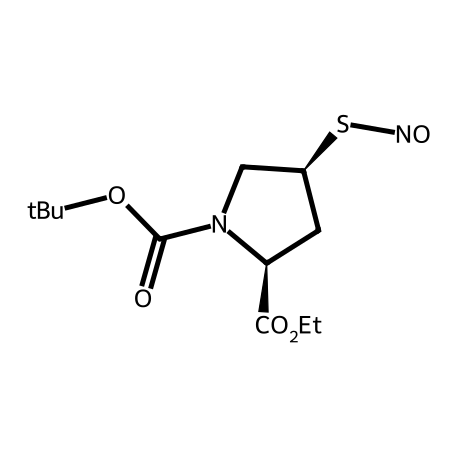 CCOC(=O)[C@@H]1C[C@H](SN=O)CN1C(=O)OC(C)(C)C